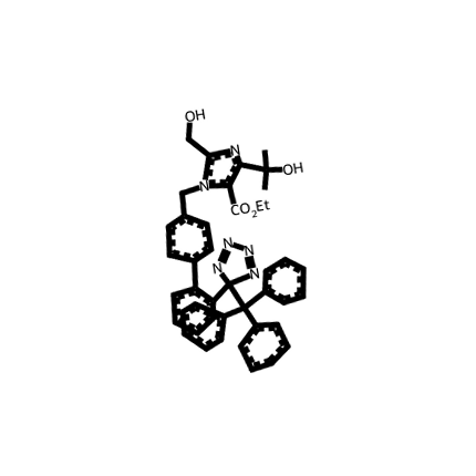 CCOC(=O)c1c(C(C)(C)O)nc(CO)n1Cc1ccc(-c2ccccc2C2(C(c3ccccc3)(c3ccccc3)c3ccccc3)N=NN=N2)cc1